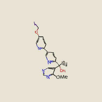 COc1ncncc1C(O)(c1ccc(-c2ccc(OCI)cn2)cn1)C(C)(C)C